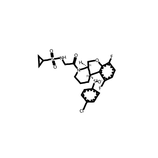 O=C(CNS(=O)(=O)C1CC1)N1CCC[C@]2([S+]([O-])c3ccc(Cl)cc3)c3c(F)ccc(F)c3OC[C@H]12